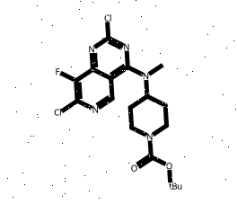 CN(c1nc(Cl)nc2c(F)c(Cl)ncc12)C1CCN(C(=O)OC(C)(C)C)CC1